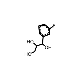 OCC(O)C(O)c1cccc(F)c1